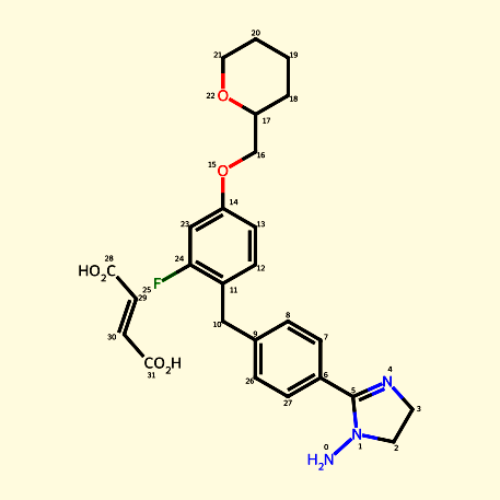 NN1CCN=C1c1ccc(Cc2ccc(OCC3CCCCO3)cc2F)cc1.O=C(O)C=CC(=O)O